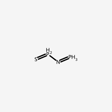 [PH3]=N[PH2]=S